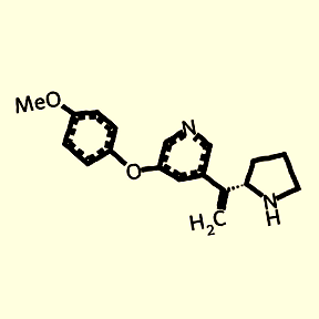 C=C(c1cncc(Oc2ccc(OC)cc2)c1)[C@@H]1CCCN1